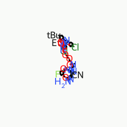 CCOc1cc(C(C)(C)C)ccc1C1=N[C@](C)(c2ccc(Cl)cc2)[C@](C)(c2ccc(Cl)cc2)N1C(=O)N1CCN(CCOCCOCCC(=O)N(C)CCn2nc(C#N)c3c2CN(C)C(=O)c2ccc(F)cc2[C@@H](C)Oc2cc-3cnc2N)CC1